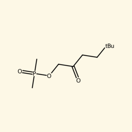 CC(C)(C)CCC(=O)COP(C)(C)=O